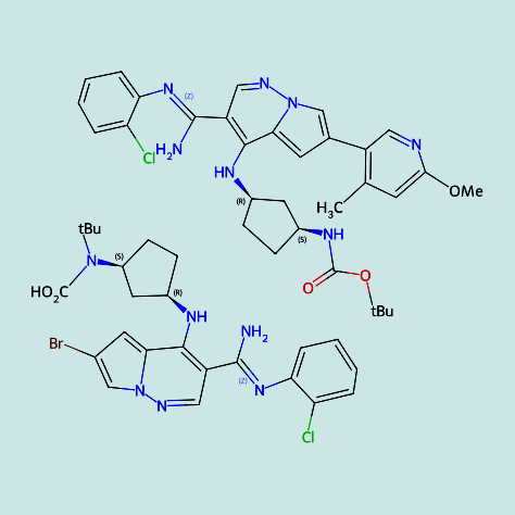 CC(C)(C)N(C(=O)O)[C@H]1CC[C@@H](Nc2c(/C(N)=N/c3ccccc3Cl)cnn3cc(Br)cc23)C1.COc1cc(C)c(-c2cc3c(N[C@@H]4CC[C@H](NC(=O)OC(C)(C)C)C4)c(/C(N)=N/c4ccccc4Cl)cnn3c2)cn1